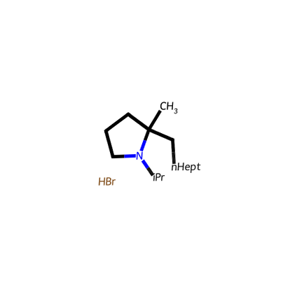 Br.CCCCCCCCC1(C)CCCN1C(C)C